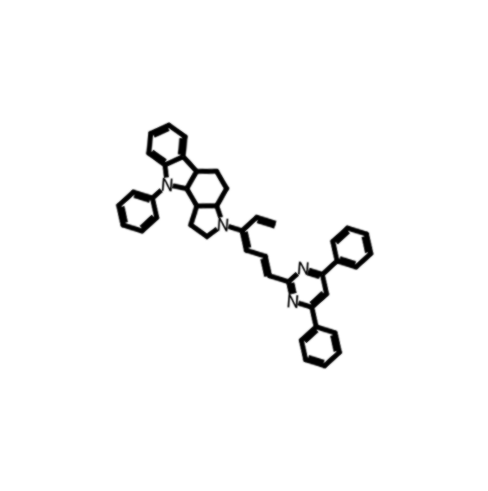 C=C/C(=C\C=C\c1nc(-c2ccccc2)cc(-c2ccccc2)n1)N1CCC2C1CCC1c3ccccc3N(c3ccccc3)C12